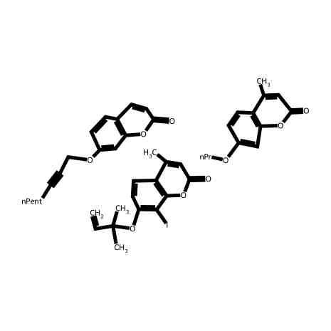 C=CC(C)(C)Oc1ccc2c(C)cc(=O)oc2c1I.CCCCCC#CCOc1ccc2ccc(=O)oc2c1.CCCOc1ccc2c(C)cc(=O)oc2c1